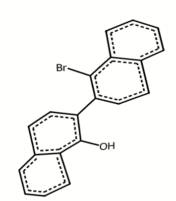 Oc1c(-c2ccc3ccccc3c2Br)ccc2ccccc12